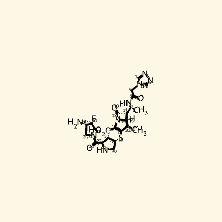 C[C@@H](NC(=O)Cn1cnnn1)[C@H]1C(=O)N2C(C(=O)O)=C(S[C@@H]3CNC(C(=O)N4C[C@H](N)[C@@H](F)C4)C3)[C@H](C)[C@H]12